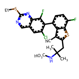 CCSc1ncc2cc(Cl)c(-c3ccc(F)c4sc(CC(C)(C)NC(=O)O)c(C#N)c34)c(F)c2n1